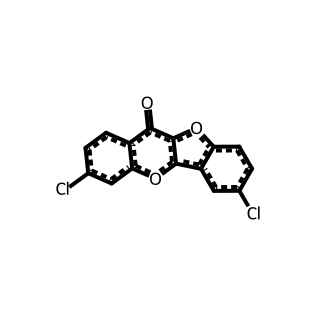 O=c1c2ccc(Cl)cc2oc2c1oc1ccc(Cl)cc12